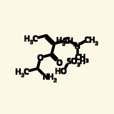 CC=C(C)C(=O)OC(C)N.CN(C)C.O=S(=O)(O)O